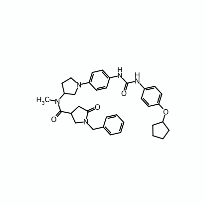 CN(C(=O)C1CC(=O)N(Cc2ccccc2)C1)C1CCN(c2ccc(NC(=O)Nc3ccc(OC4CCCC4)cc3)cc2)C1